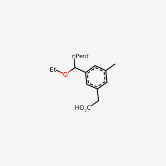 CCCCCC(OCC)c1cc(C)cc(CC(=O)O)c1